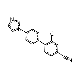 N#Cc1ccc(-c2ccc(-n3ccnc3)cc2)c(Cl)c1